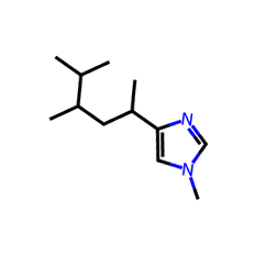 CC(CC(C)C(C)C)c1cn(C)cn1